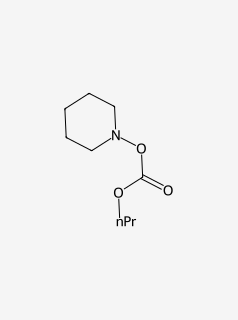 CCCOC(=O)ON1CCCCC1